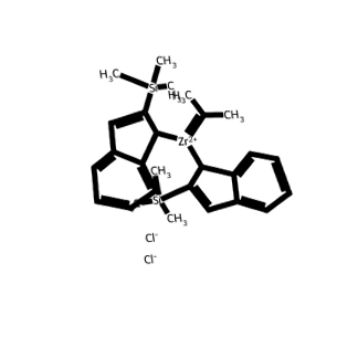 C[C](C)=[Zr+2]([CH]1C([Si](C)(C)C)=Cc2ccccc21)[CH]1C([Si](C)(C)C)=Cc2ccccc21.[Cl-].[Cl-]